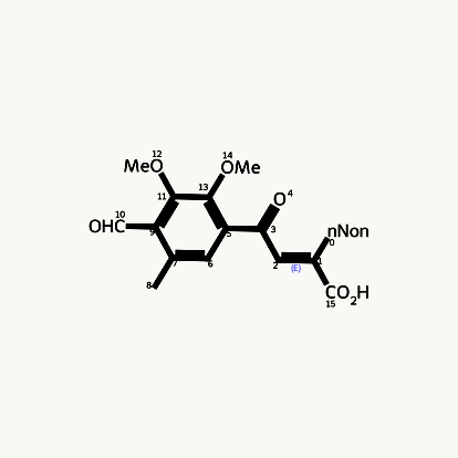 CCCCCCCCC/C(=C\C(=O)c1cc(C)c(C=O)c(OC)c1OC)C(=O)O